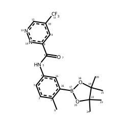 Cc1ccc(NC(=O)c2cc(C(F)(F)F)cnn2)cc1B1OC(C)(C)C(C)(C)O1